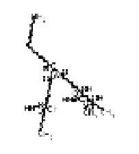 CCCCCCCCC(O)C(CCCCCCCC(=O)OCC(COC(=O)CCCCCCCC(O)C(CC(OC(=O)CC)C(O)CCCCC)OC(=O)C=N)OC(=O)CCCCCCC/C=C\CCCCCCCCN)OC(=O)C=N